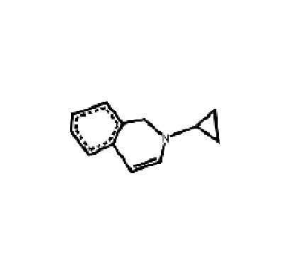 C1=CN(C2CC2)Cc2ccccc21